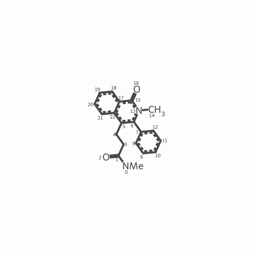 CNC(=O)CCc1c(-c2ccccc2)n(C)c(=O)c2ccccc12